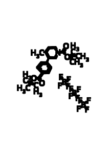 C[C@@H]1CCN(C(=O)OC(C)(C)C)C[C@H]1c1ccc(C(=O)OC(C)(C)C)cc1.F[B-](F)(F)F.F[B-](F)(F)F.F[B-](F)(F)F